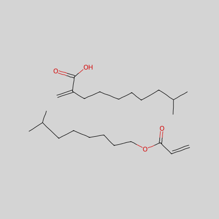 C=C(CCCCCCC(C)C)C(=O)O.C=CC(=O)OCCCCCCC(C)C